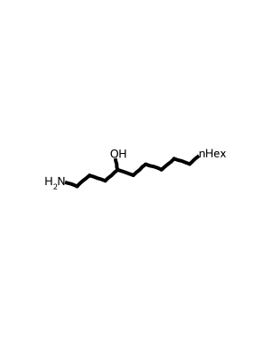 CCCCCCCCCCCC(O)CCCN